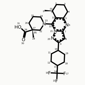 C[C@H]1CCCc2nc3cc(C4CCC(C(F)(F)F)CC4)nn3c(N3CCC[C@@](C)(C(=O)O)C3)c21